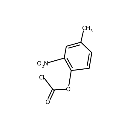 Cc1ccc(OC(=O)Cl)c([N+](=O)[O-])c1